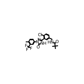 Cc1ccc(-n2nc(-c3cc(CNC(=O)C(C)(C)C)ccc3Cl)[nH]c2=O)cc1C(F)(F)F